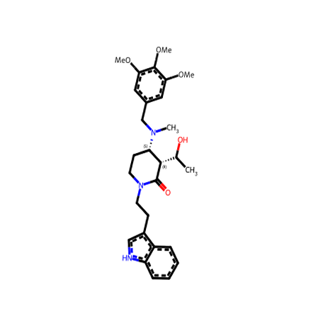 COc1cc(CN(C)[C@H]2CCN(CCc3c[nH]c4ccccc34)C(=O)[C@H]2C(C)O)cc(OC)c1OC